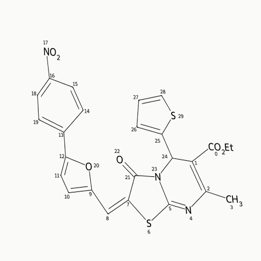 CCOC(=O)C1=C(C)N=c2s/c(=C/c3ccc(-c4ccc([N+](=O)[O-])cc4)o3)c(=O)n2C1c1cccs1